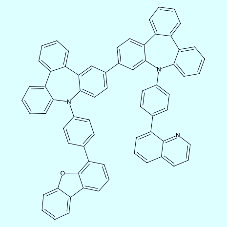 c1ccc2c(c1)-c1ccccc1N(c1ccc(-c3cccc4c3oc3ccccc34)cc1)c1ccc(-c3ccc4c(c3)N(c3ccc(-c5cccc6cccnc56)cc3)c3ccccc3-c3ccccc3-4)cc1-2